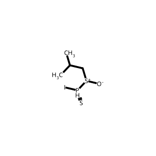 CC(C)C[S+]([O-])[PH](=S)I